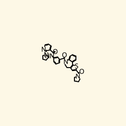 O=C(Nc1cccc(C(=O)N2CCc3cc(C(=O)N4CCCC4)sc3-c3ccccc32)c1)c1cccnc1N1CCCC1